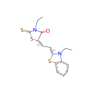 CCN1C(=O)/C(=C\C=C2/Sc3ccccc3N2CC)SC1=S